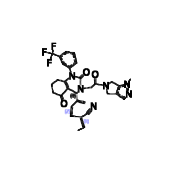 C=C(/C=C\C(C#N)=C/C)[C@@H]1C2=C(CCCC2=O)N(c2cccc(C(F)(F)F)c2)C(=O)N1CC(=O)N1Cc2cnn(C)c2C1